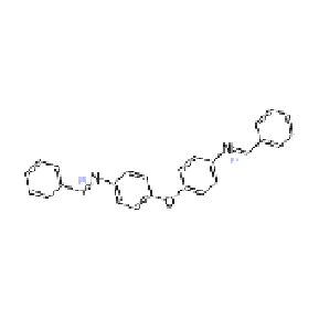 C(=N\c1ccc(Oc2ccc(/N=C/c3ccccc3)cc2)cc1)/c1ccccc1